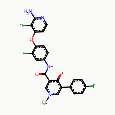 Cn1cc(C(=O)Nc2ccc(Oc3ccnc(N)c3Cl)c(F)c2)c(=O)c(-c2ccc(F)cc2)c1